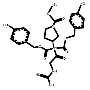 CC(C)(C)OC(=O)N1CC[C@H]([N+](C(=O)CNC(=N)N)(C(=O)OCc2ccc([N+](=O)[O-])cc2)C(=O)OCc2ccc([N+](=O)[O-])cc2)C1